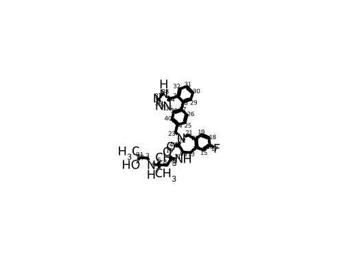 C[C@@H](O)CNC(C)(C)CC(=O)N[C@@H]1Cc2cc(F)ccc2CN(Cc2ccc(-c3ccccc3-c3nnn[nH]3)cc2)C1=O